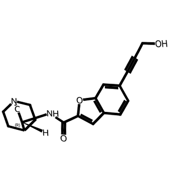 O=C(N[C@H]1CN2CCC1CC2)c1cc2ccc(C#CCO)cc2o1